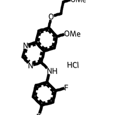 COCCOc1cc2ncnc(Nc3ccc(Br)cc3F)c2cc1OC.Cl